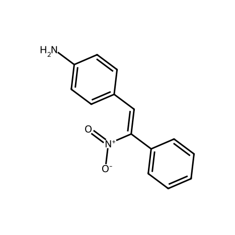 Nc1ccc(C=C(c2ccccc2)[N+](=O)[O-])cc1